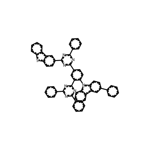 c1ccc(-c2ccc3c(c2)c2ccccc2n3-c2ccc(-c3nc(-c4ccccc4)nc(-c4ccc5sc6ccccc6c5c4)n3)cc2-c2nc(-c3ccccc3)nc(-c3ccccc3)n2)cc1